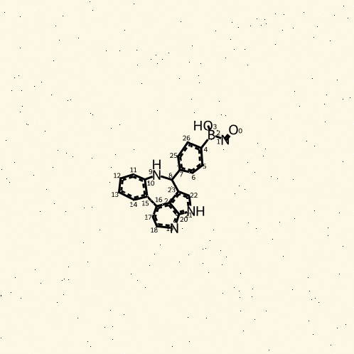 O=NB(O)c1ccc(C2Nc3ccccc3-c3ccnc4[nH]cc2c34)cc1